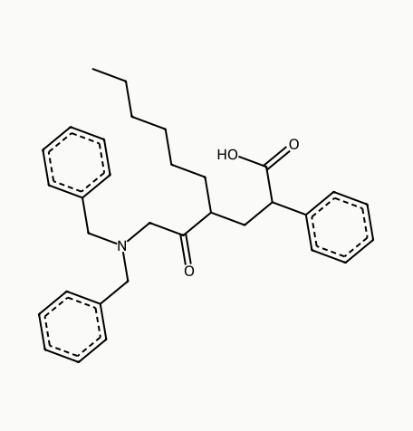 CCCCCCC(CC(C(=O)O)c1ccccc1)C(=O)CN(Cc1ccccc1)Cc1ccccc1